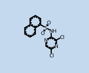 O=S(=O)(Nc1ncc(Cl)nc1Cl)c1cccc2ccccc12